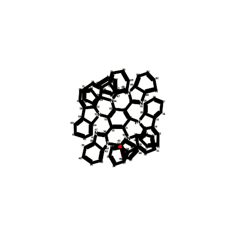 c1ccc(-n2c(-c3c(-n4c5ccccc5c5ccccc54)c(-n4c5ccccc5c5ccccc54)c(-c4nc5ccccc5n4-c4ccccc4)c(-n4c5ccccc5c5ccccc54)c3-n3c4ccccc4c4ccccc43)nc3ccccc32)cc1